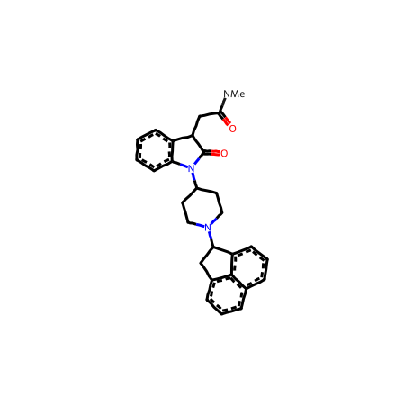 CNC(=O)CC1C(=O)N(C2CCN(C3Cc4cccc5cccc3c45)CC2)c2ccccc21